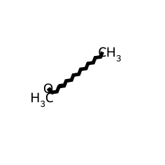 CCCCCCCCCCCC=CCC(C)=O